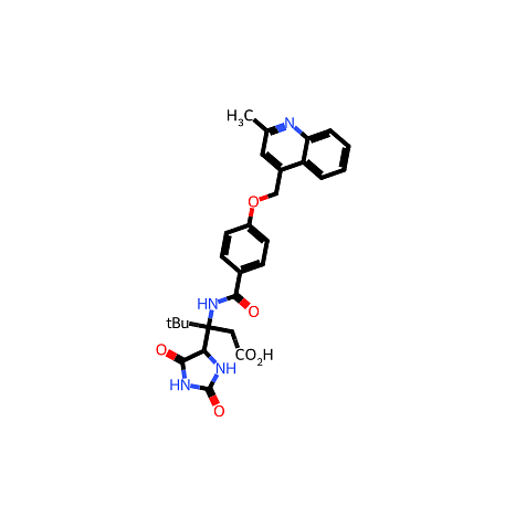 Cc1cc(COc2ccc(C(=O)NC(CC(=O)O)(C3NC(=O)NC3=O)C(C)(C)C)cc2)c2ccccc2n1